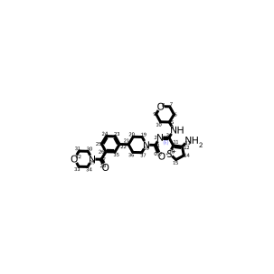 C=C(/N=C(/NC1CCOCC1)C1=C(N)CC[S+]1[O-])N1CCC(c2cccc(C(=O)N3CCOCC3)c2)CC1